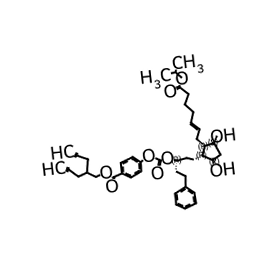 C#CCC(CC#C)COC(=O)c1ccc(OC(=O)O[C@@H](CCc2ccccc2)CC[C@@H]2[C@@H](CC=CCCCC(=O)OC(C)C)[C@@H](O)C[C@H]2O)cc1